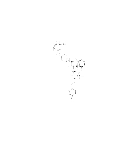 O=C(C=Cc1ccc(Cl)cc1)NC(Cc1ccccn1)C(=O)NCC(=O)N1CCC(Oc2cc(C(F)(F)F)ncn2)CC1